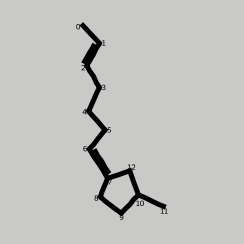 CC=CCCCC=C1CCC(C)C1